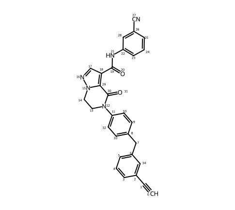 C#Cc1cccc(Cc2ccc(N3CCn4ncc(C(=O)Nc5cccc(C#N)c5)c4C3=O)cc2)c1